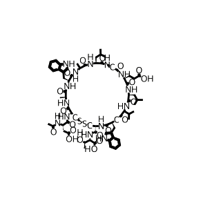 CC(=O)N[C@@H](CC(=O)O)C(=O)N[C@H]1CSSC[C@@H](C(=O)N[C@H](C(=O)O)[C@@H](C)O)NC(=O)[C@H](Cc2c[nH]c3ccccc23)CC(=O)C(C(C)C)NC(=O)[C@H](CC(C)C)NC(=O)[C@H](CCC(=O)O)NC(=O)CNC(=O)[C@H](CC(C)C)NC(=O)C(C)NC(=O)[C@H](Cc2c[nH]c3ccccc23)NC(=O)[C@H](C)NC1=O